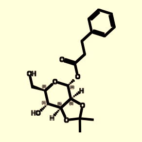 CC1(C)O[C@@H]2[C@@H](OC(=O)CCc3ccccc3)O[C@H](CO)[C@@H](O)[C@@H]2O1